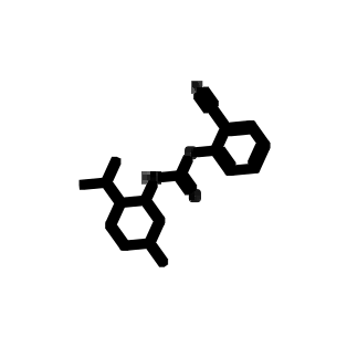 CC1CCC(C(C)C)C(NC(=O)Oc2ccccc2C#N)C1